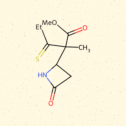 CCC(=S)C(C)(C(=O)OC)C1CC(=O)N1